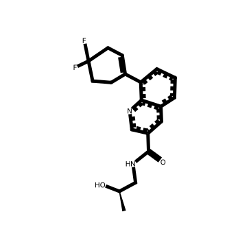 C[C@@H](O)CNC(=O)c1cnc2c(C3=CCC(F)(F)CC3)cccc2c1